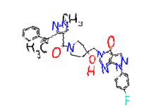 C[C@H](c1ccccc1)c1nn(C)cc1C(=O)N1CCC(O)(Cn2cnc3c(cnn3-c3ccc(F)cc3)c2=O)CC1